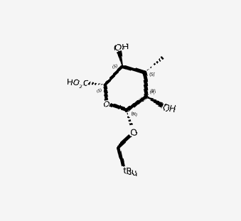 C[C@@H]1[C@@H](O)[C@H](OCC(C)(C)C)O[C@H](C(=O)O)[C@H]1O